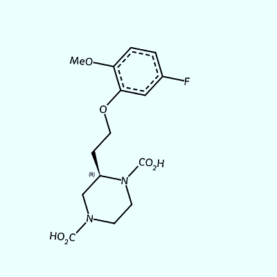 COc1ccc(F)cc1OCC[C@@H]1CN(C(=O)O)CCN1C(=O)O